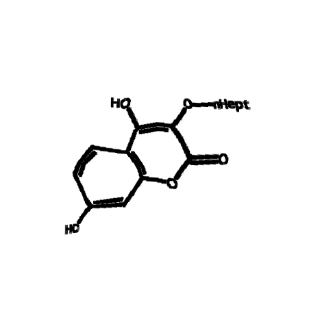 CCCCCCCOc1c(O)c2ccc(O)cc2oc1=O